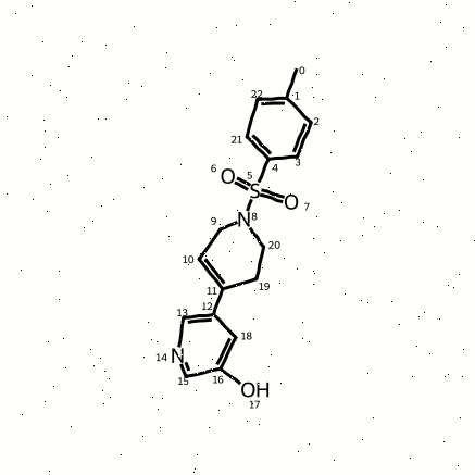 Cc1ccc(S(=O)(=O)N2CC=C(c3cncc(O)c3)CC2)cc1